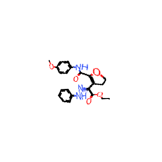 CCOC(=O)/C(=N\Nc1ccccc1)C1=C(C(=O)Nc2ccc(OC)cc2)OCC1